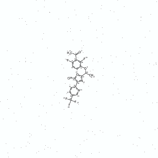 CC(=O)c1c(F)ccc(OC(C)c2nc(-c3ccc(C(F)(F)F)cn3)c(Cl)o2)c1F